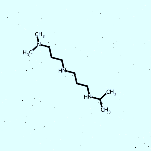 CC(C)NCCCNCCCN(C)C